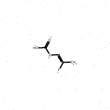 CC(F)=COC(=O)O